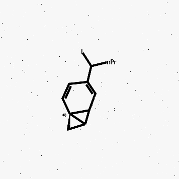 CCCC(I)C1=CC2C3C[C@@]23C=C1